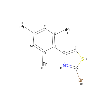 CC(C)c1cc(C(C)C)c(-c2csc(Br)n2)c(C(C)C)c1